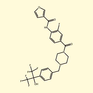 O=C(Nc1ccc(C(=O)N2CCN(Cc3ccc(C(O)(C(F)(F)F)C(F)(F)F)cc3)CC2)cc1F)c1ccoc1